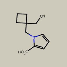 N#CCC1(Cn2cccc2C(=O)O)CCC1